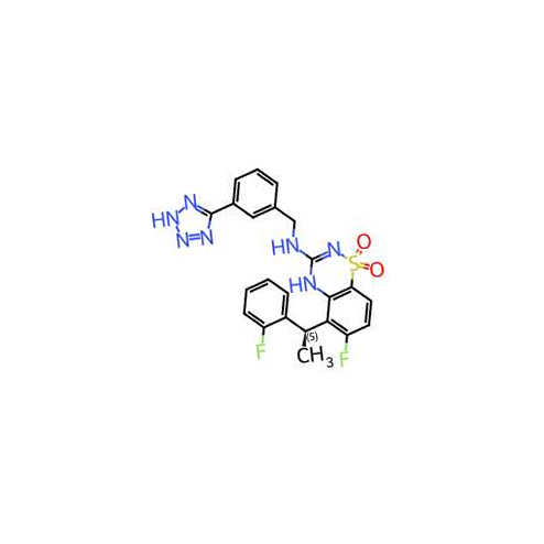 C[C@@H](c1ccccc1F)c1c(F)ccc2c1NC(NCc1cccc(-c3nn[nH]n3)c1)=NS2(=O)=O